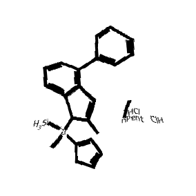 CC1=Cc2c(-c3ccccc3)cccc2[CH]1[Zr]([CH3])([SiH3])[C]1=CC=CC1.CCCCCC.Cl.Cl